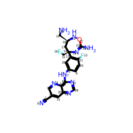 N#Cc1cnc2c(Nc3ccc(F)c([C@]4(CF)C[C@@H](CN)NOC(N)=N4)c3)ncnc2c1